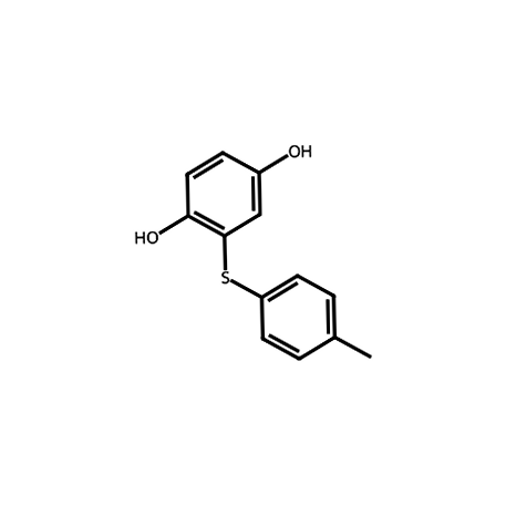 Cc1ccc(Sc2cc(O)ccc2O)cc1